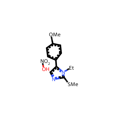 CCn1c(-c2ccc(OC)cc2)cnc1SC.O=[N+]([O-])O